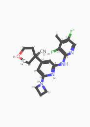 Cc1c(F)cnc(Nc2cc(C3(C#N)CCOCC3)cc(N3CCC3)n2)c1F